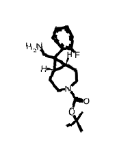 CC(C)(C)OC(=O)N1CC[C@@H]2[C@H](CC1)C2(CN)c1ccccc1F